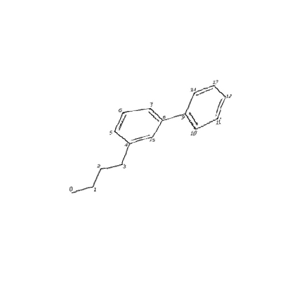 CCCCc1cccc(-c2c[c]ccc2)c1